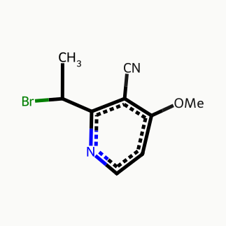 COc1ccnc(C(C)Br)c1C#N